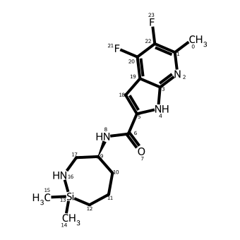 Cc1nc2[nH]c(C(=O)N[C@H]3CCC[Si](C)(C)NC3)cc2c(F)c1F